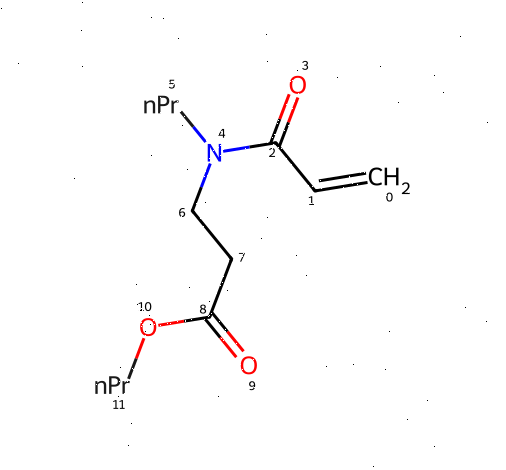 C=CC(=O)N(CCC)CCC(=O)OCCC